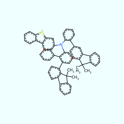 CC1(C)c2ccccc2-c2cc(-c3ccccc3N(c3ccc4c(c3)sc3ccccc34)c3cccc(-c4cccc5c4C(C)(C)c4ccccc4-5)c3-c3ccccc3)ccc21